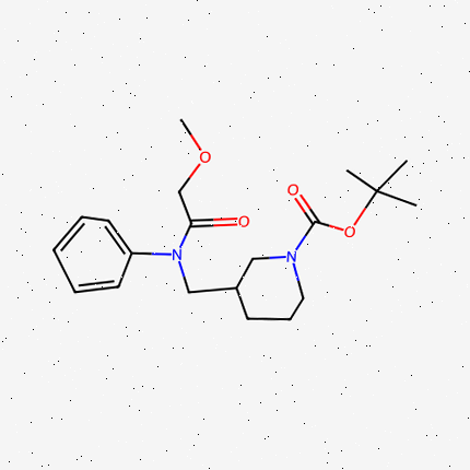 COCC(=O)N(CC1CCCN(C(=O)OC(C)(C)C)C1)c1ccccc1